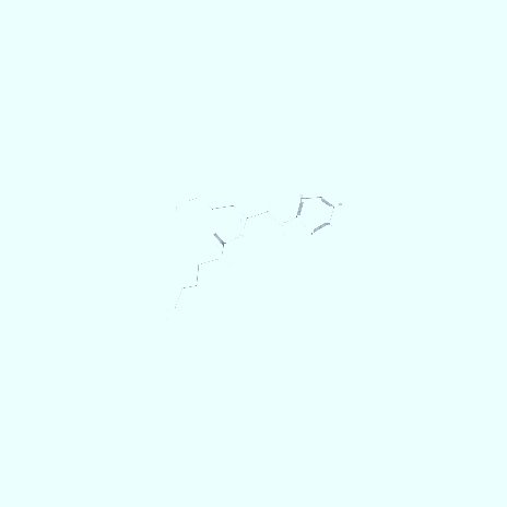 CCCCOC(=O)NC(CCSC)CNc1cccc(Cl)c1